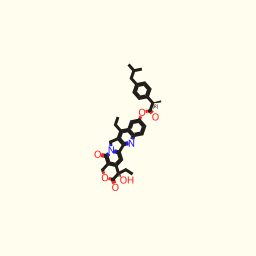 CCc1c2c(nc3ccc(OC(=O)[C@H](C)c4ccc(CC(C)C)cc4)cc13)-c1cc3c(c(=O)n1C2)COC(=O)[C@]3(O)CC